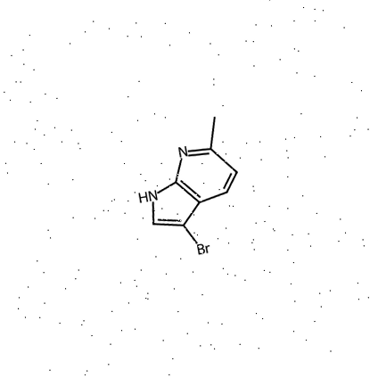 Cc1ccc2c(Br)c[nH]c2n1